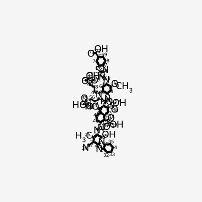 COc1cc(N=Nc2c(S(=O)(=O)O)cc3c(S(=O)(=O)O)c(N=Nc4c(C)c(C#N)c5nc6ccccc6n5c4O)ccc3c2O)c(N(CCCS(=O)(=O)O)CCCS(=O)(=O)O)cc1N=Nc1nc2ccc(C(=O)O)cc2s1